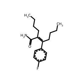 CCCCC(C(N)=O)=C(CCCC)c1ccc(F)cc1